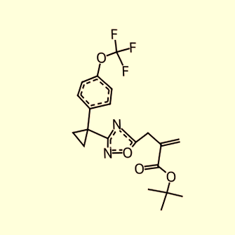 C=C(Cc1nc(C2(c3ccc(OC(F)(F)F)cc3)CC2)no1)C(=O)OC(C)(C)C